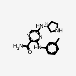 Cc1cccc(Nc2nc(N[C@@H]3CCNC3)cnc2C(N)=O)c1